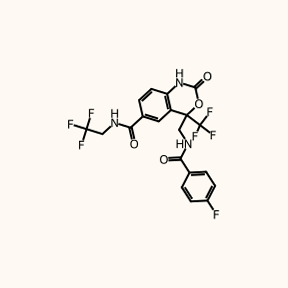 O=C1Nc2ccc(C(=O)NCC(F)(F)F)cc2C(CNC(=O)c2ccc(F)cc2)(C(F)(F)F)O1